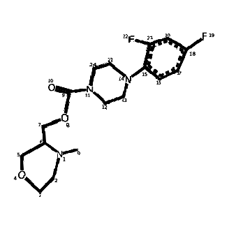 CN1CCOCC1COC(=O)N1CCN(c2ccc(F)cc2F)CC1